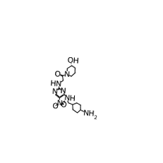 NC1CCC(CNc2nc(NCC(=O)N3CCC[C@@H](O)C3)ncc2[N+](=O)[O-])CC1